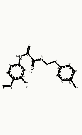 C=Cc1ccc(NC(=C)C(=O)NCCc2ccc(C)cc2)cc1F